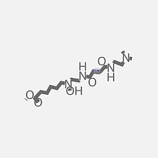 COC(=O)CCCCCN(O)CCNC(=O)/C=C/C(=O)NCCN(C)C